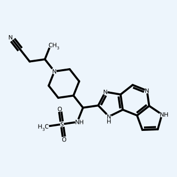 CC(CC#N)N1CCC(C(NS(C)(=O)=O)c2nc3cnc4[nH]ccc4c3[nH]2)CC1